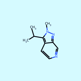 CC(C)c1c2ccncc2nn1C